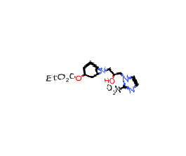 CCOC(=O)OC1CCC2C(C1)N2CC(O)Cn1ccnc1[N+](=O)[O-]